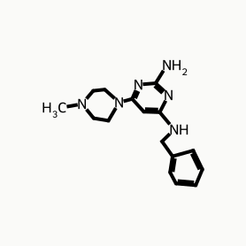 CN1CCN(c2cc(NCc3ccccc3)nc(N)n2)CC1